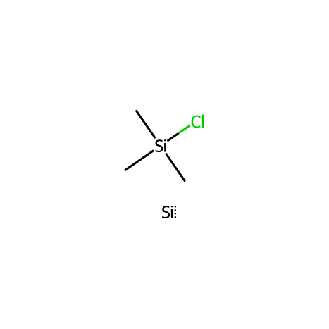 C[Si](C)(C)Cl.[Si]